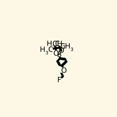 CC1(C)OB(c2ccc(OCCF)cc2)OC1(C)C